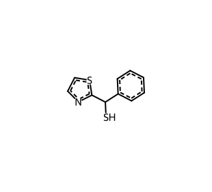 SC(c1ccccc1)c1nccs1